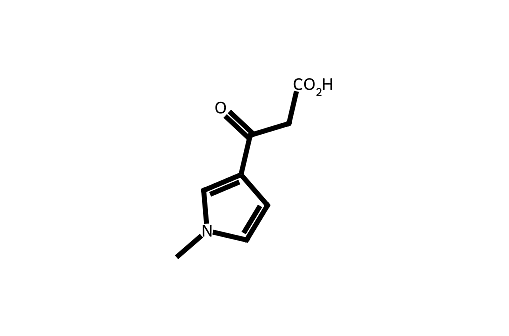 Cn1ccc(C(=O)CC(=O)O)c1